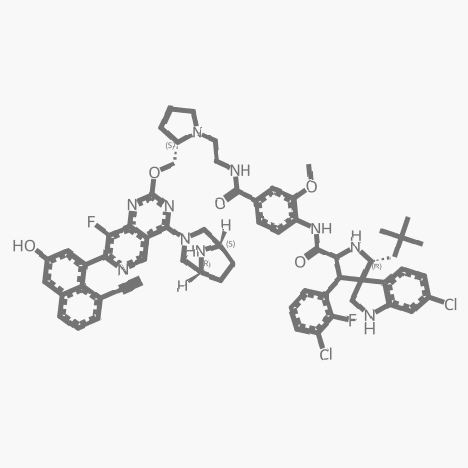 C#Cc1cccc2cc(O)cc(-c3ncc4c(N5C[C@H]6CC[C@@H](C5)N6)nc(OC[C@@H]5CCCN5CCNC(=O)c5ccc(NC(=O)C6N[C@H](CC(C)(C)C)C7(CNc8cc(Cl)ccc87)C6c6cccc(Cl)c6F)c(OC)c5)nc4c3F)c12